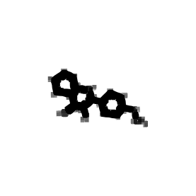 CSc1ccc(-c2oc3ccccc3c(=O)c2I)cc1